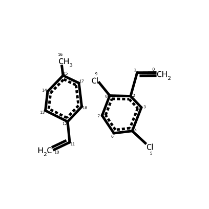 C=Cc1cc(Cl)ccc1Cl.C=Cc1ccc(C)cc1